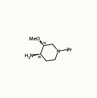 CO[C@H]1CN(C(C)C)CC[C@H]1N